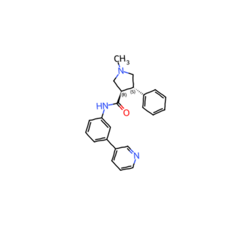 CN1C[C@H](C(=O)Nc2cccc(-c3cccnc3)c2)[C@@H](c2ccccc2)C1